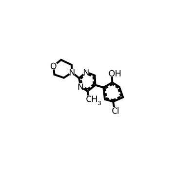 Cc1nc(N2CCOCC2)ncc1-c1cc(Cl)ccc1O